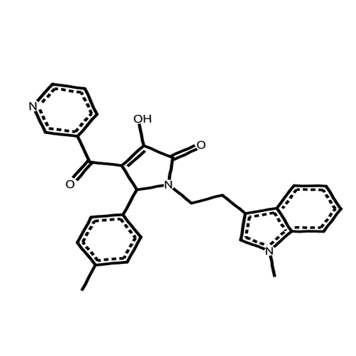 Cc1ccc(C2C(C(=O)c3cccnc3)=C(O)C(=O)N2CCc2cn(C)c3ccccc23)cc1